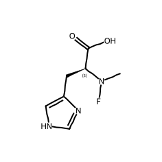 CN(F)[C@@H](Cc1c[nH]cn1)C(=O)O